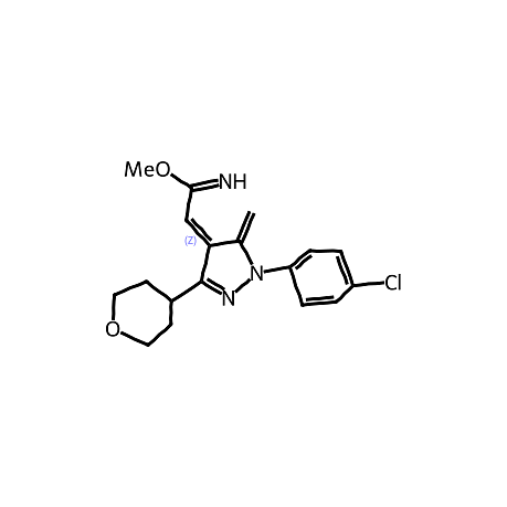 C=c1/c(=C\C(=N)OC)c(C2CCOCC2)nn1-c1ccc(Cl)cc1